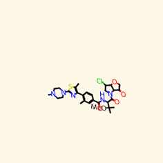 COC(C)(C)C(NC(=O)c1ccc(-c2nc(N3CCN(C)CC3)sc2C)c(C)c1)C(=O)N1CC(Cl)C2OCC(=O)C21